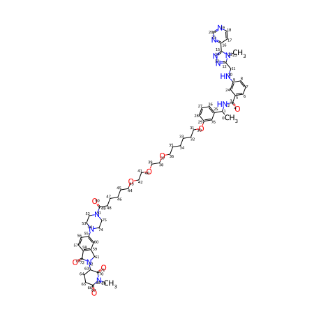 CC(NC(=O)c1cccc(NCc2nnc(-c3ccncn3)n2C)c1)c1cccc(OCCCCCCOCCOCCOCCCCCC(=O)N2CCN(c3ccc4c(c3)CN(C3CCC(=O)N(C)C3=O)C4=O)CC2)c1